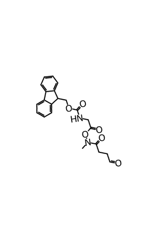 CN(OC(=O)CNC(=O)OCC1c2ccccc2-c2ccccc21)C(=O)CCC=O